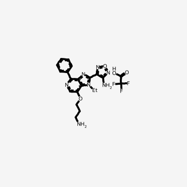 CCn1c(-c2nonc2N)nc2c(-c3ccccc3)ncc(OCCCN)c21.O=C(O)C(F)(F)F